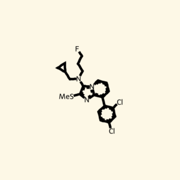 CSc1nc2c(-c3ccc(Cl)cc3Cl)cccn2c1N(CCCF)CC1CC1